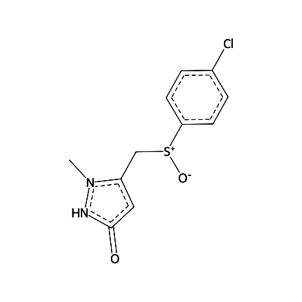 Cn1[nH]c(=O)cc1C[S+]([O-])c1ccc(Cl)cc1